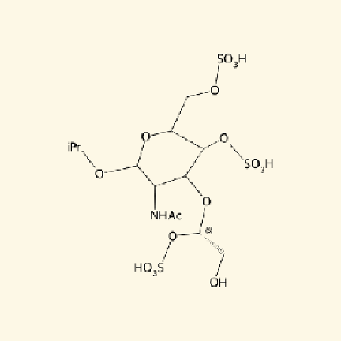 CC(=O)NC1C(OC(C)C)OC(COS(=O)(=O)O)C(OS(=O)(=O)O)C1O[C@H](CO)OS(=O)(=O)O